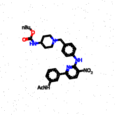 CCCCOC(=O)NC1CCN(Cc2ccc(Nc3nc(-c4cccc(NC(C)=O)c4)ccc3[N+](=O)[O-])cc2)CC1